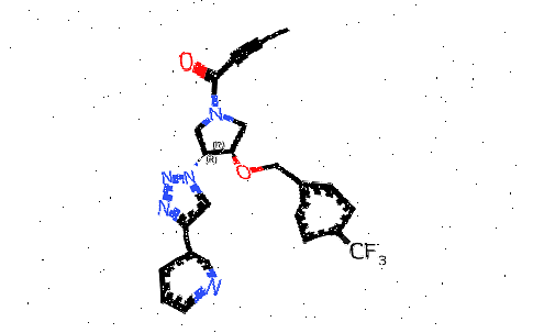 CC#CC(=O)N1C[C@@H](n2cc(-c3cccnc3)nn2)[C@H](OCc2ccc(C(F)(F)F)cc2)C1